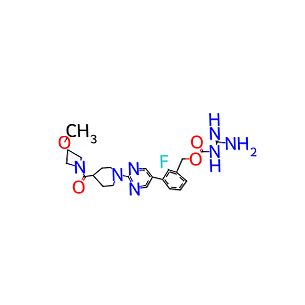 COC1CN(C(=O)C2CCN(c3ncc(-c4cccc(COC(=O)NC(=N)N)c4F)cn3)CC2)C1